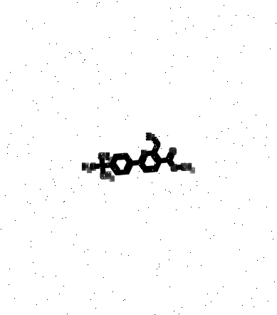 COC(=O)c1ccc(-c2ccc(C(C)(C)C)cc2)nc1CBr